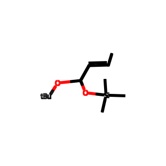 CC=CC(OC(C)(C)C)O[Si](C)(C)C